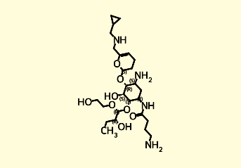 CC[C@@H](O)[C@H](OCCO)O[C@@H]1[C@@H](O)[C@H](O[C@@H]2CCC=C(CNCC3CC3)O2)[C@@H](N)C[C@H]1NC(=O)CCCN